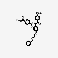 COc1ccc(C(=O)C(OC(=O)C2CCN(C(=O)OC(C)(C)C)CC2)c2ccc(OCCOCc3ccccc3)cc2)cc1